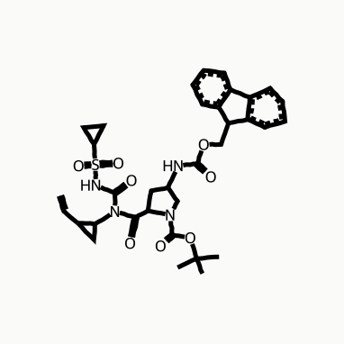 C=CC1CC1N(C(=O)NS(=O)(=O)C1CC1)C(=O)C1CC(NC(=O)OCC2c3ccccc3-c3ccccc32)CN1C(=O)OC(C)(C)C